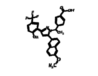 COc1ccc2cc(-c3cc(-c4cc(C(F)(F)F)ccc4O)nn3C(C)c3ccc(C(=O)O)cc3)ccc2c1